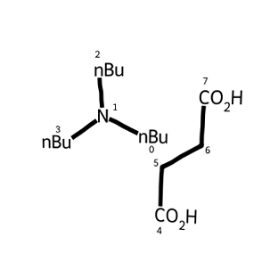 CCCCN(CCCC)CCCC.O=C(O)CCC(=O)O